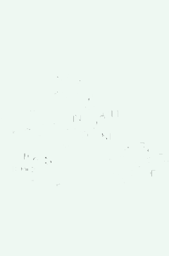 O=C(N[C@@H](Cc1ccccc1)[C@@H](O)CNCc1cccc(C(F)(F)F)c1)c1cc(C2CCCC2)cc(N2CCCS2(O)O)c1